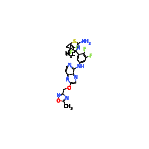 Cc1nc(COc2cnc3c(Nc4cc(F)c(F)c([C@@]5(C)N=C(N)S[C@@]6(C(F)F)C[C@@H]56)c4)nccc3n2)no1